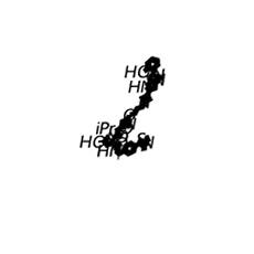 Cc1ncsc1-c1ccc([C@H](C)NC(=O)C2C[C@@H](O)CN2C(=O)[C@@H](c2cc(OCCCN3CC(c4cc5nnc(-c6ccccc6O)cc5[nH]4)C3)no2)C(C)C)cc1